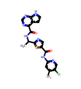 CC(NC(=O)c1ncnc2[nH]ccc12)c1ncc(C(=O)Nc2cc(C(F)(F)F)c(Cl)cn2)s1